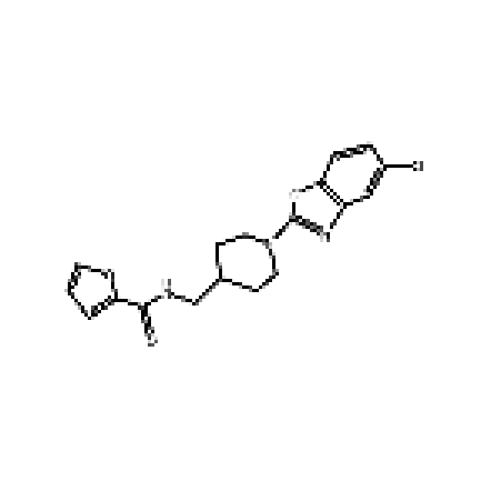 O=C(NCC1CCN(c2nc3cc(Cl)ccc3o2)CC1)c1ccco1